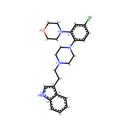 Brc1ccc(N2CCN(CCc3c[nH]c4ccccc34)CC2)c(N2CCOCC2)c1